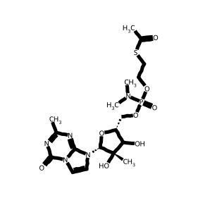 CC(=O)SCCOP(=O)(OC[C@H]1O[C@@H](n2ccn3c(=O)nc(C)nc23)[C@@](C)(O)C1O)N(C)C